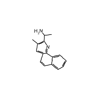 Cc1cc2ccc3ccccc3c2nc1C(C)N